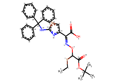 CCSC(ON=C(C(=O)O)c1csc(NC(c2ccccc2)(c2ccccc2)c2ccccc2)n1)C(=O)OC(C)(C)C